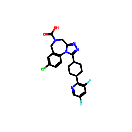 O=C(O)N1Cc2cc(Cl)ccc2-n2c(nnc2C2CCC(c3ncc(F)cc3F)CC2)C1